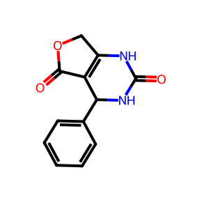 O=C1NC2=C(C(=O)OC2)C(c2ccccc2)N1